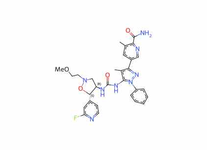 COCCN1C[C@@H](NC(=O)Nc2c(C)c(-c3cnc(C(N)=O)c(C)c3)nn2-c2ccccc2)[C@H](c2ccnc(F)c2)O1